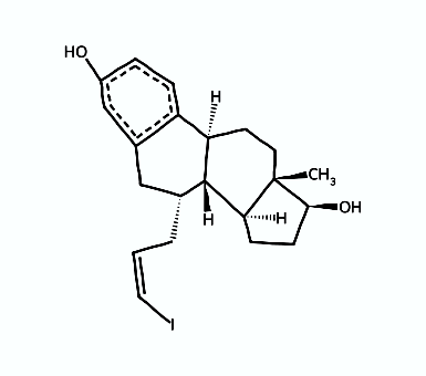 C[C@]12CC[C@@H]3c4ccc(O)cc4C[C@@H](C/C=C\I)[C@H]3[C@@H]1CC[C@@H]2O